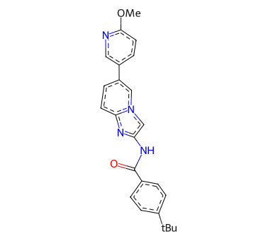 COc1ccc(-c2ccc3nc(NC(=O)c4ccc(C(C)(C)C)cc4)cn3c2)cn1